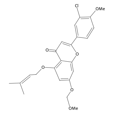 COCOc1cc(OCC=C(C)C)c2c(=O)cc(-c3ccc(OC)c(Cl)c3)oc2c1